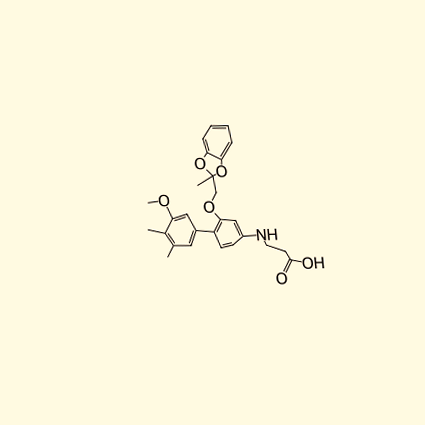 COc1cc(-c2ccc(NCCC(=O)O)cc2OCC2(C)Oc3ccccc3O2)cc(C)c1C